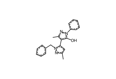 Cc1cc(-c2c(C)nn(-c3ccccc3)c2O)n(Cc2ccccc2)n1